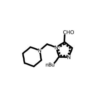 CCCCc1ncc(C=O)n1CN1CCCCC1